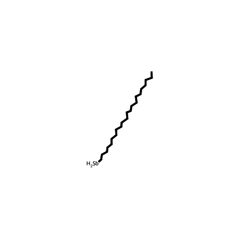 CCCCCCCCCCCCCCCCCCCCC[CH2][SbH2]